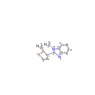 Cc1sccc1-c1nc2ccccc2n1C